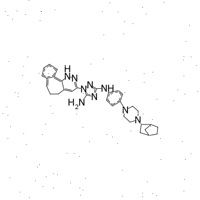 Nc1nc(Nc2ccc(N3CCN(C4CC5CCC4C5)CC3)cc2)nn1C1=NNC2=c3ccccc3=CCCC2=C1